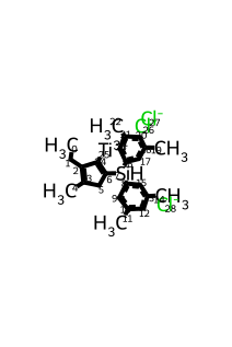 CCC1=C(C)CC([SiH](c2cc(C)cc(C)c2)c2cc(C)cc(C)c2)=[C]1[Ti+3].[Cl-].[Cl-].[Cl-]